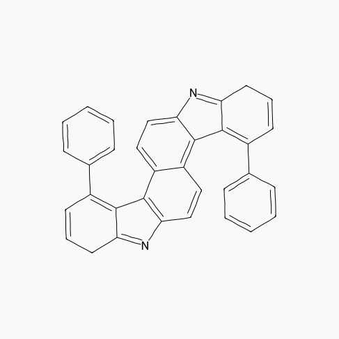 C1=CC(c2ccccc2)=C2C(=Nc3ccc4c5c(ccc4c32)N=C2CC=CC(c3ccccc3)=C25)C1